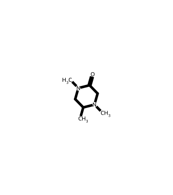 CC1CN(C)C(=O)CN1C